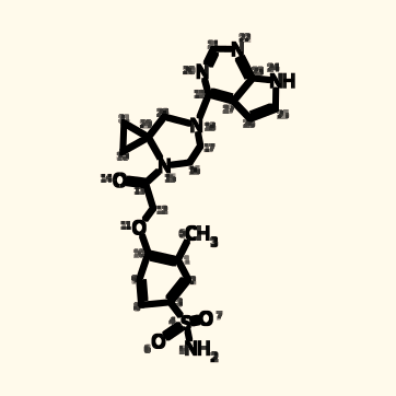 Cc1cc(S(N)(=O)=O)ccc1OCC(=O)N1CCN(c2ncnc3[nH]ccc23)CC12CC2